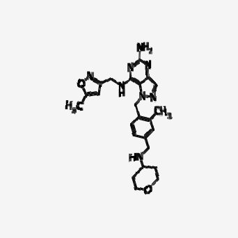 Cc1cc(CNc2nc(N)nc3cnn(Cc4ccc(CNC5CCOCC5)cc4C)c23)no1